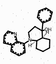 OC1(c2ccccc2)CCN(c2cccc3cccnc23)[C@@H]2CCCC[C@@H]21